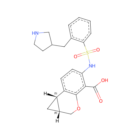 O=C(O)c1c(NS(=O)(=O)c2ccccc2CC2CCNC2)ccc2c1OC[C@@H]1C[C@H]21